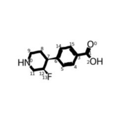 O=C(O)c1ccc([C@@H]2CCNC[C@@H]2F)cc1